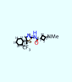 CN[C@H]1C[C@H](C(=O)NC2=NCC(C)([C@H]3CCCC[C@@H]3C(F)(F)F)S2)C1